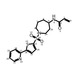 C=CC(=O)NC1CCCN(S(=O)(=O)c2ccc(-c3ccccn3)s2)CC1